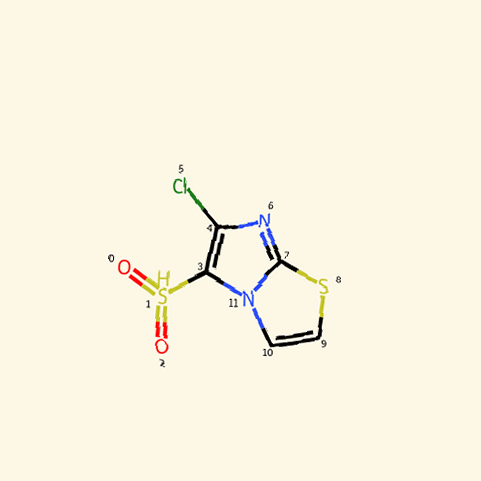 O=[SH](=O)c1c(Cl)nc2sccn12